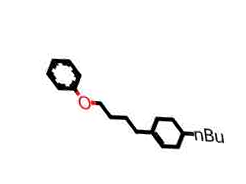 CCCCC1CC=C(CCCCOc2ccccc2)CC1